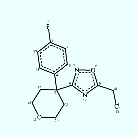 Fc1ccc(C2(c3noc(CCl)n3)CCOCC2)cc1